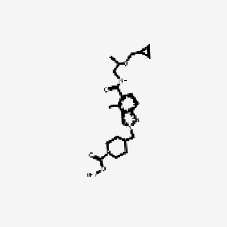 Cc1c(C(=O)NCC(C)OCC2CC2)ccc2nn(CC3CCN(C(=O)OC(C)(C)C)CC3)cc12